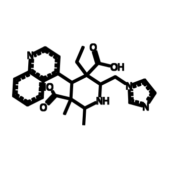 CCC1(C(=O)O)C(Cn2ccnc2)NC(C)C(C)(C(=O)O)C1c1ccnc2ccccc12